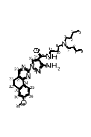 CCCCN(CCCC)CCCNC(=O)c1cn(-c2ncc3c(n2)-c2ccc(OC)cc2CC3)nc1N